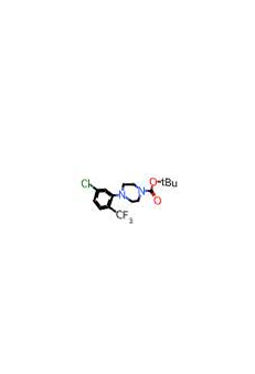 CC(C)(C)OC(=O)N1CCN(c2cc(Cl)ccc2C(F)(F)F)CC1